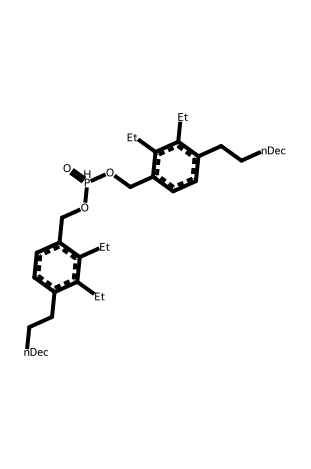 CCCCCCCCCCCCc1ccc(CO[PH](=O)OCc2ccc(CCCCCCCCCCCC)c(CC)c2CC)c(CC)c1CC